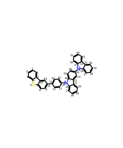 c1ccc2c(c1)sc1ccc(-c3ccc(-n4c5ccccc5c5cc(-n6c7ccccc7c7ccccc76)ccc54)cc3)cc12